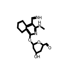 CNc1nc(OC2CC(O)CC(C=O)O2)c2c(c1C=N)CCCC2